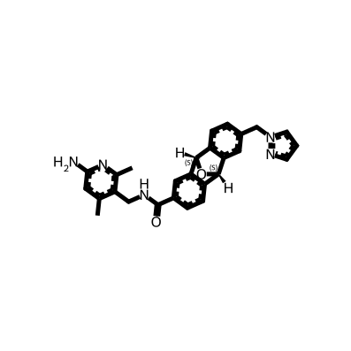 Cc1cc(N)nc(C)c1CNC(=O)c1ccc2c(c1)[C@H]1O[C@@H]2c2cc(Cn3cccn3)ccc21